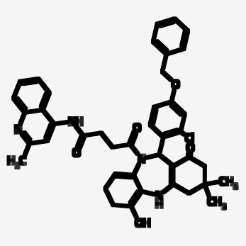 Cc1cc(NC(=O)CCC(=O)N2C3=CCCC(O)=C3NC3=C(C(=O)CC(C)(C)C3)C2c2ccc(OCc3ccccc3)cc2Cl)c2ccccc2n1